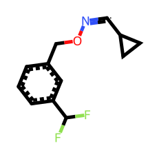 FC(F)c1cccc(CO/N=[C]\C2CC2)c1